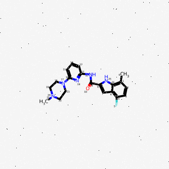 Cc1ccc(F)c2cc(C(=O)Nc3cccc(N4CCN(C)CC4)n3)[nH]c12